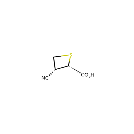 N#C[C@@H]1CS[C@@H]1C(=O)O